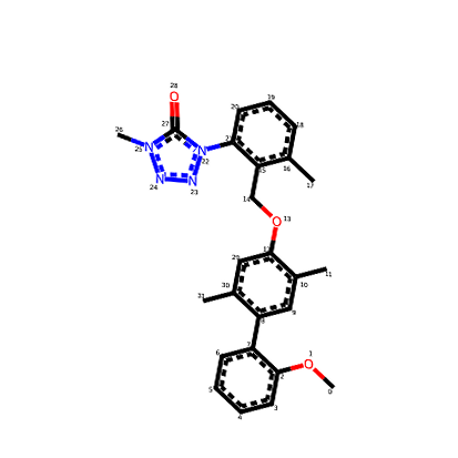 COc1ccccc1-c1cc(C)c(OCc2c(C)cccc2-n2nnn(C)c2=O)cc1C